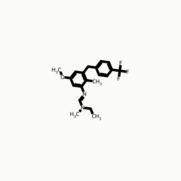 CCN(C)/C=N/c1cc(OC)cc(Cc2ccc(C(F)(F)F)cc2)c1C